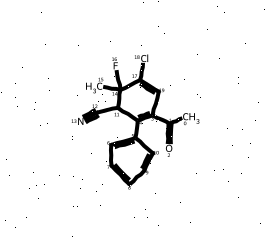 CC(=O)C1=C(c2ccccc2)C(C#N)C(C)(F)C(Cl)=C1